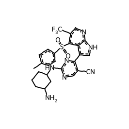 Cc1ccc(S(=O)(=O)c2c(C(F)(F)F)cnc3[nH]cc(-c4nc(NC5CCCC(N)C5)ncc4C#N)c23)cc1